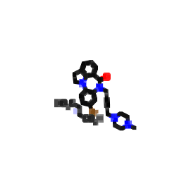 CN1CCN(CC#CCN2C(=O)c3cccc4c3N(CC4)c3ccc(Br)cc32)CC1.O=C(O)/C=C/C(=O)O